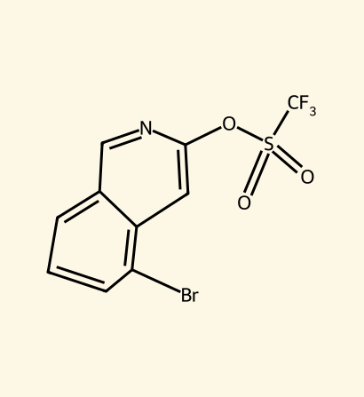 O=S(=O)(Oc1cc2c(Br)cccc2cn1)C(F)(F)F